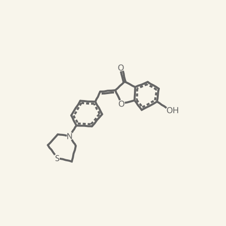 O=C1/C(=C/c2ccc(N3CCSCC3)cc2)Oc2cc(O)ccc21